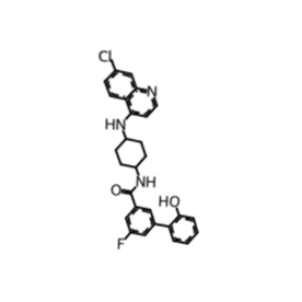 O=C(NC1CCC(Nc2ccnc3cc(Cl)ccc23)CC1)c1cc(F)cc(-c2ccccc2O)c1